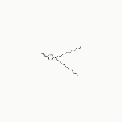 C/C=C/c1ccc(N(CCCCCCCCCCC)CCCCCCCCCCC)cc1